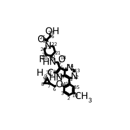 Cc1ccc(OCC2CC2)c(-c2ncnc3c(C(=O)N[C@@H]4CCN(C(=O)CO)C[C@H]4F)c(C)[nH]c23)c1